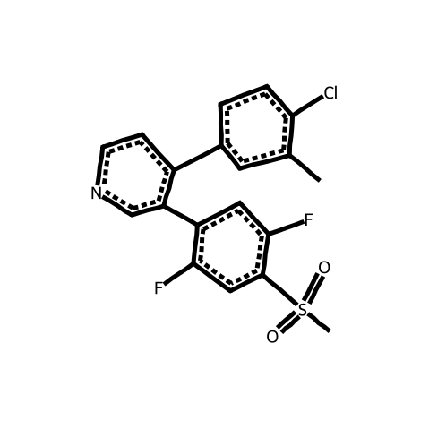 Cc1cc(-c2ccncc2-c2cc(F)c(S(C)(=O)=O)cc2F)ccc1Cl